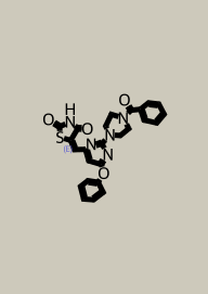 O=C1NC(=O)/C(=C\c2cc(Oc3ccccc3)nc(N3CCN(C(=O)c4ccccc4)CC3)n2)S1